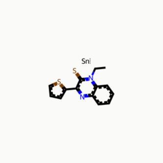 CCn1c(=S)c(-c2cccs2)nc2ccccc21.[Sn]